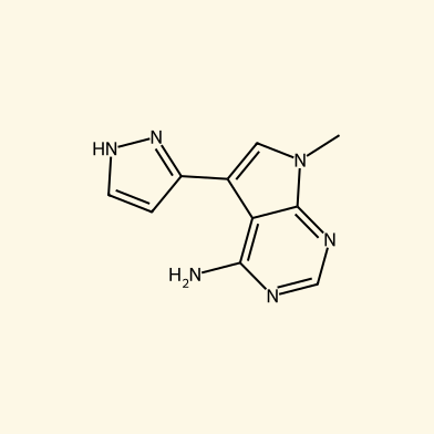 Cn1cc(-c2cc[nH]n2)c2c(N)ncnc21